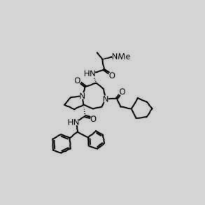 CN[C@H](C)C(=O)N[C@@H]1CN(C(=O)CC2CCCCC2)CC[C@@]2(C(=O)NC(c3ccccc3)c3ccccc3)CCCN2C1=O